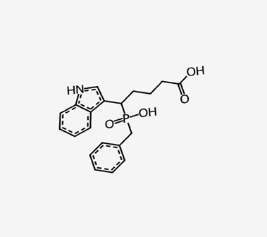 O=C(O)CCCC(c1c[nH]c2ccccc12)P(=O)(O)Cc1ccccc1